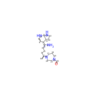 C=C(CC/C=C(\N)C1C=CNC2NCCC21)N1CCCN(C=O)CC1